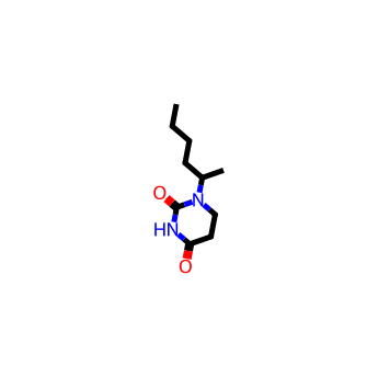 CCCCC(C)N1CCC(=O)NC1=O